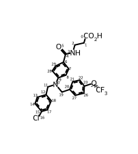 O=C(O)CCNC(=O)c1ccc(N(Cc2ccc(Cl)cc2)Cc2ccc(OC(F)(F)F)cc2)cc1